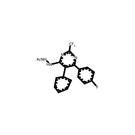 CC(=O)NNc1nc(C(F)(F)F)nc(-c2ccc(F)cc2)c1-c1ccccc1